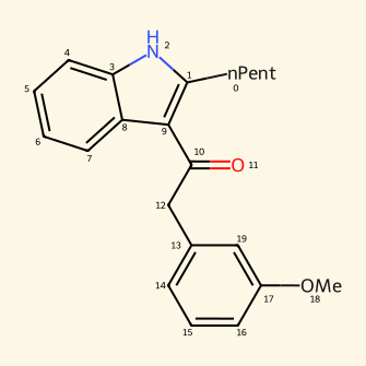 CCCCCc1[nH]c2ccccc2c1C(=O)Cc1cccc(OC)c1